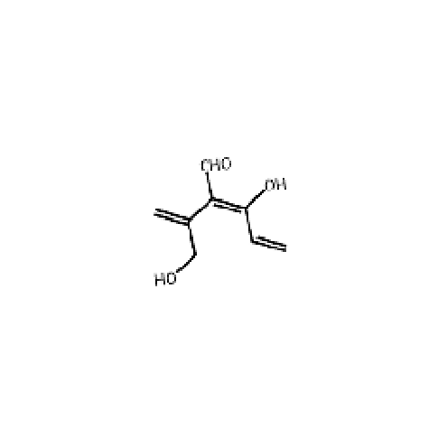 C=C/C(O)=C(/C=O)C(=C)CO